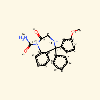 COc1cccc(C2(c3ccccc3)N[CH]C(=O)N(C(N)=O)c3ccccc32)c1